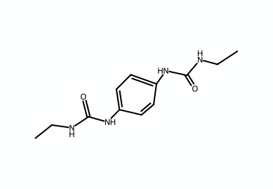 CCNC(=O)Nc1ccc(NC(=O)NCC)cc1